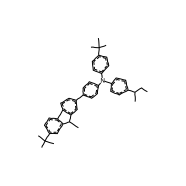 CCC(C)c1ccc(N(c2ccc(-c3ccc4c(c3)C(C)c3cc(C(C)(C)C)ccc3-4)cc2)c2ccc(C(C)(C)C)cc2)cc1